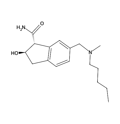 CCCCCN(C)Cc1ccc2c(c1)[C@@H](C(N)=O)[C@H](O)C2